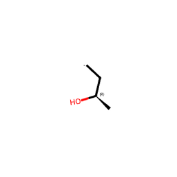 [CH2]C[C@@H](C)O